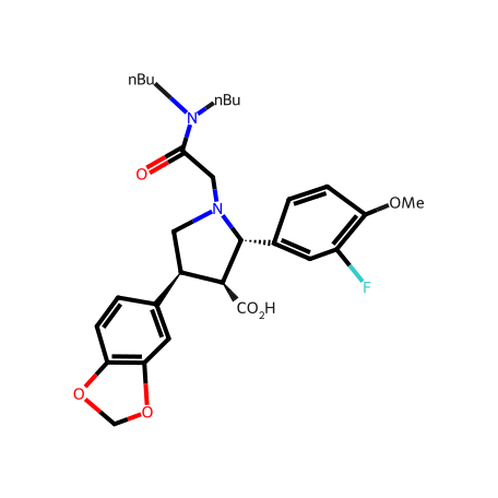 CCCCN(CCCC)C(=O)CN1C[C@H](c2ccc3c(c2)OCO3)[C@H](C(=O)O)[C@H]1c1ccc(OC)c(F)c1